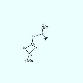 CCCC(F)CN1CC(C(C)(C)C)C1